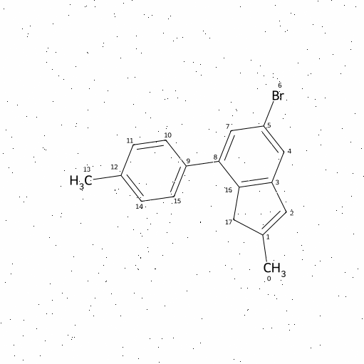 CC1=Cc2cc(Br)cc(-c3ccc(C)cc3)c2C1